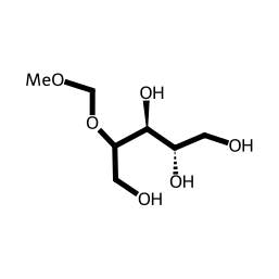 COCOC(CO)[C@@H](O)[C@@H](O)CO